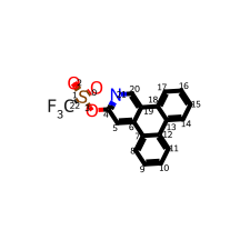 O=S(=O)(Oc1cc2c3ccccc3c3ccccc3c2cn1)C(F)(F)F